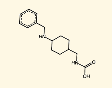 O=C(O)NCC1CCC(NCc2ccccc2)CC1